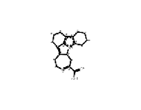 O=C(O)C1=NCCC2=C3CCCc4c5c(n(c43)C2C1)CCCC5